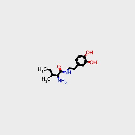 CCC(C)C(N)C(=O)NCCc1ccc(O)c(O)c1